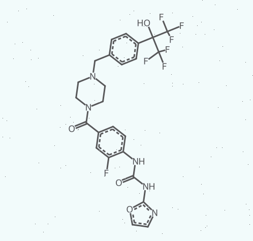 O=C(Nc1ncco1)Nc1ccc(C(=O)N2CCN(Cc3ccc(C(O)(C(F)(F)F)C(F)(F)F)cc3)CC2)cc1F